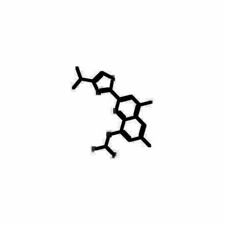 Cc1cc(OC(F)F)c2nc(-c3nc(C(C)C)cs3)cc(C)c2c1